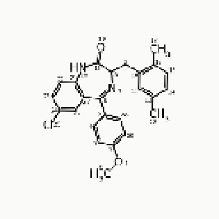 COc1ccc(C2=NC(Cc3cc(C)ccc3C)C(=O)Nc3ccc(Cl)cc32)cc1